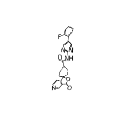 O=C1OC2(CCC(C(=O)Nc3ncc(-c4ccccc4F)cn3)CC2)c2ccncc21